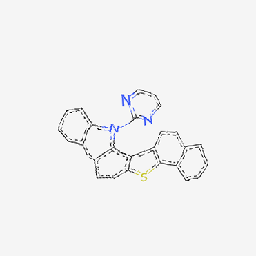 c1cnc(-n2c3ccccc3c3ccc4sc5c6ccccc6ccc5c4c32)nc1